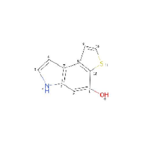 Oc1cc2[nH]ccc2c2ccsc12